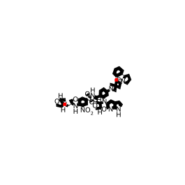 CC(C)c1ccccc1[C@@H]1CCCN1C1CC2(C1)CN(c1ccc(C(=O)NS(=O)(=O)c3cc4c(c([N+](=O)[O-])c3)N[C@H](CN3C[C@H]5C[C@@H]3CO5)CO4)c(N3c4cc5cc[nH]c5nc4O[C@H]4COC[C@@H]43)c1)C2